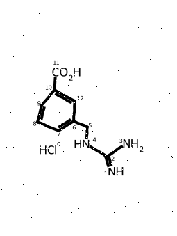 Cl.N=C(N)NCc1cccc(C(=O)O)c1